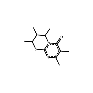 Cc1nc2n(c(=O)c1C)C(C)C(C)C(C)S2